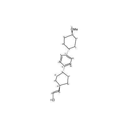 CO[C@H]1CC[C@H](c2cnc([C@H]3CC[C@H](/C=C/Cl)CC3)nc2)CC1